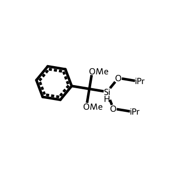 COC(OC)(c1ccccc1)[SiH](OC(C)C)OC(C)C